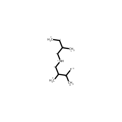 CCC(C)CNCC(C)C(C)F